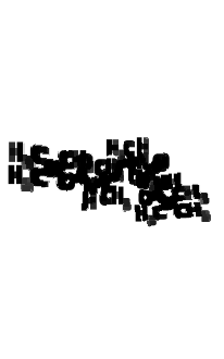 CC(C)(CCC(C)(C)NS(=O)(=O)NC(=O)C(C)(C)C)NC(=O)OC(C)(C)C